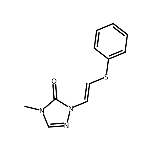 Cn1cnn(/C=C/Sc2ccccc2)c1=O